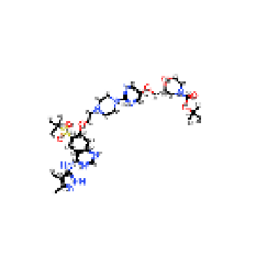 Cc1n[nH]c(Nc2ncnc3cc(OCCN4CCN(c5ncc(OC[C@H]6CN(C(=O)OC(C)(C)C)CCO6)cn5)CC4)c(S(=O)(=O)C(C)(C)C)cc23)c1C